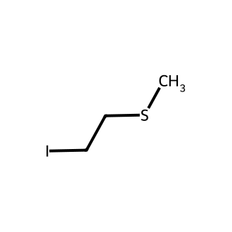 CSCCI